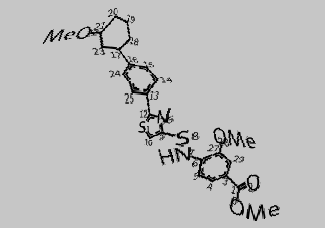 COC(=O)c1ccc(NSc2csc(-c3ccc(C4CCCC(OC)C4)cc3)n2)c(OC)c1